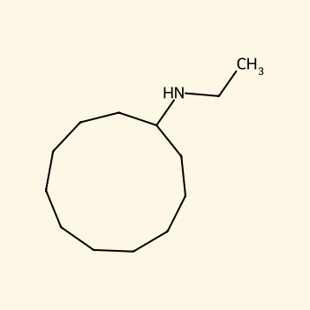 CCNC1CCCCCCCCCC1